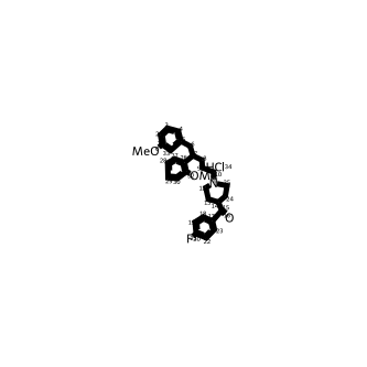 COc1cccc(CC(CCCN2CCC(C(=O)c3ccc(F)cc3)CC2)c2ccccc2OC)c1.Cl